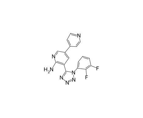 Nc1ncc(-c2ccncc2)cc1-c1nnnn1-c1cccc(F)c1F